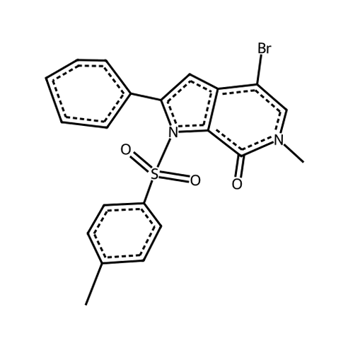 Cc1ccc(S(=O)(=O)n2c(-c3ccccc3)cc3c(Br)cn(C)c(=O)c32)cc1